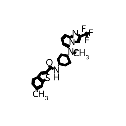 Cc1ccc2cc(C(=O)N[C@H]3CC[C@@H](N(C)c4cccc5nc(C(F)(F)F)cn45)CC3)sc2c1